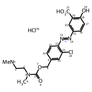 CNCCN(C)C(=O)OCc1ccc(/N=N/c2ccc(O)c(C(=O)O)c2)c(Cl)c1.Cl